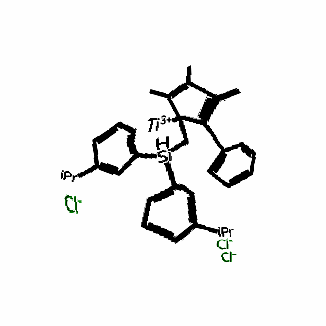 CC1=C(C)[C]([Ti+3])(C[SiH](c2cccc(C(C)C)c2)c2cccc(C(C)C)c2)C(c2ccccc2)=C1C.[Cl-].[Cl-].[Cl-]